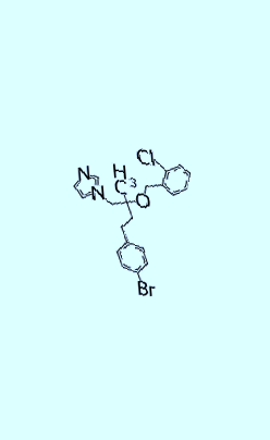 CC(CCc1ccc(Br)cc1)(Cn1ccnc1)OCc1ccccc1Cl